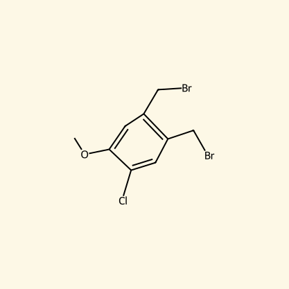 COc1cc(CBr)c(CBr)cc1Cl